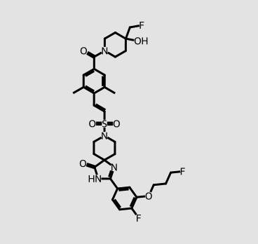 Cc1cc(C(=O)N2CCC(O)(CF)CC2)cc(C)c1C=CS(=O)(=O)N1CCC2(CC1)N=C(c1ccc(F)c(OCCCF)c1)NC2=O